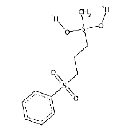 [3H]O[Si](C)(CCCS(=O)(=O)c1ccccc1)O[3H]